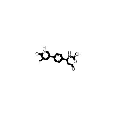 O=CCC(NC(=O)O)c1ccc(-c2c[nH]c(=O)c(F)c2)cc1